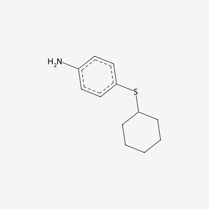 Nc1ccc(SC2CCCCC2)cc1